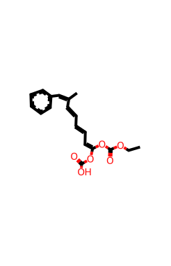 CCOC(=O)OC(=CC=CC=CC(C)=Cc1ccccc1)OC(=O)O